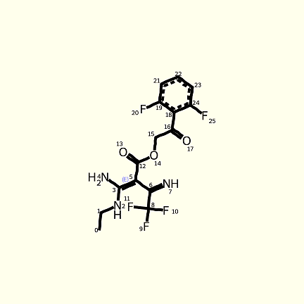 CCN/C(N)=C(\C(=N)C(F)(F)F)C(=O)OCC(=O)c1c(F)cccc1F